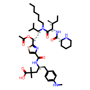 CCCCCCN(C(=O)[C@@H](NC(=O)[C@H]1CCCCN1)[C@@H](C)CC)[C@H](C[C@@H](OC(C)=O)c1nc(C(=O)N[C@@H](Cc2ccc(NC)cc2)CC(C)(C)C(=O)O)cs1)C(C)C